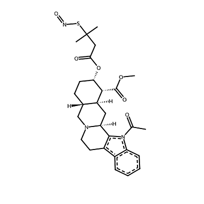 COC(=O)[C@@H]1[C@H]2C[C@H]3c4c(c5ccccc5n4C(C)=O)CCN3C[C@@H]2CC[C@@H]1OC(=O)CC(C)(C)SN=O